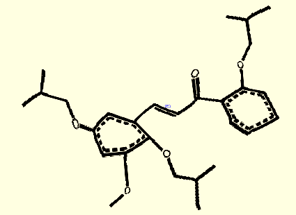 COc1cc(OCC(C)C)cc(/C=C/C(=O)c2ccccc2OCC(C)C)c1OCC(C)C